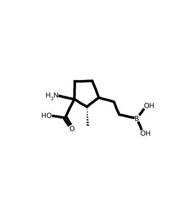 C[C@H]1C(CCB(O)O)CCC1(N)C(=O)O